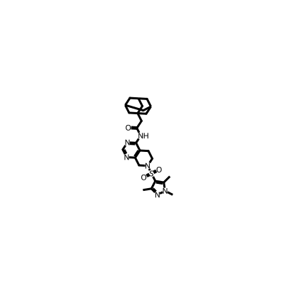 Cc1nn(C)c(C)c1S(=O)(=O)N1CCc2c(ncnc2NC(=O)CC23CC4CC(CC(C4)C2)C3)C1